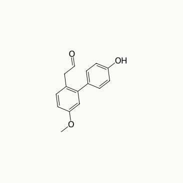 COc1ccc(CC=O)c(-c2ccc(O)cc2)c1